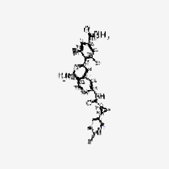 C=C(/C=N\N(C)C)[C@@H]1C[C@H]1C(=O)Nc1cc2cc(-c3c(C)cc(C(N)=O)cc3F)nc(N)c2cn1